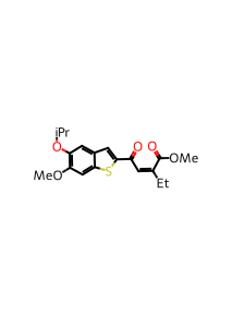 CCC(=CC(=O)c1cc2cc(OC(C)C)c(OC)cc2s1)C(=O)OC